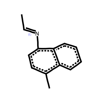 C/C=N/c1ccc(C)c2ccccc12